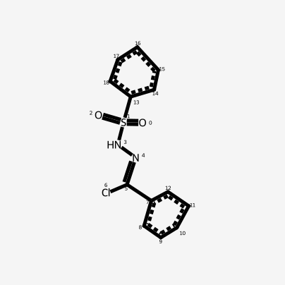 O=S(=O)(NN=C(Cl)c1ccccc1)c1ccccc1